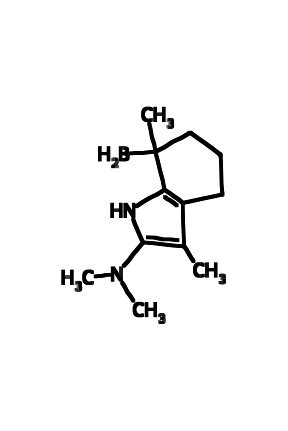 BC1(C)CCCc2c1[nH]c(N(C)C)c2C